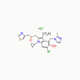 CCOC(=O)c1c(C[S+]([O-])Cc2cscn2)n(C2CC2)c2cc(Br)c(O)c(Cn3ccnc3C)c12.Cl